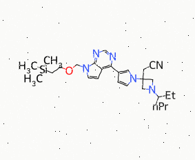 CCCC(CC)N1CC(CC#N)(n2ccc(-c3ncnc4c3ccn4COCC[Si](C)(C)C)c2)C1